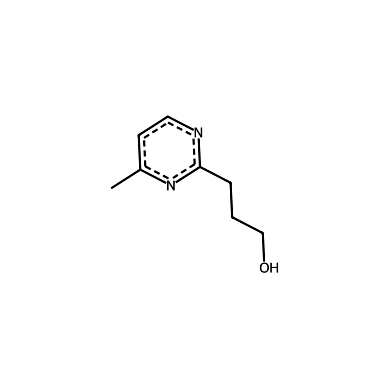 Cc1ccnc(CCCO)n1